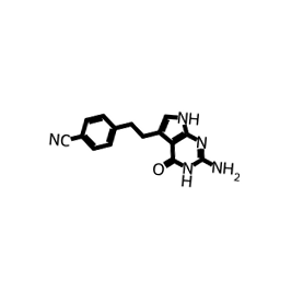 N#Cc1ccc(CCc2c[nH]c3nc(N)[nH]c(=O)c23)cc1